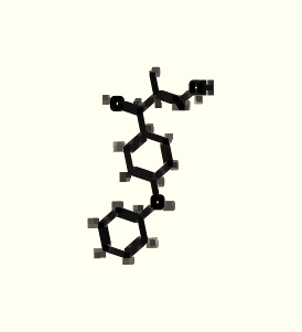 CC(=NO)C(=O)c1ccc(Oc2ccccc2)cc1